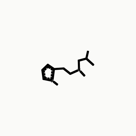 CC(C)CN(C)CCc1cccn1C